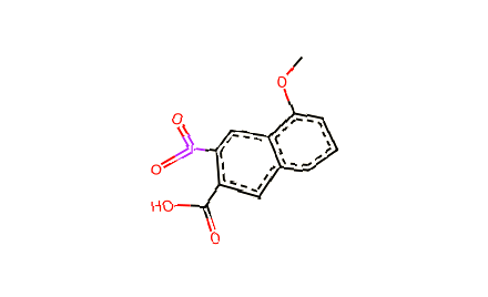 COc1cccc2cc(C(=O)O)c(I(=O)=O)cc12